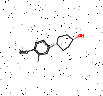 COc1ccc([C@H]2CC[C@@H](O)CC2)cc1C